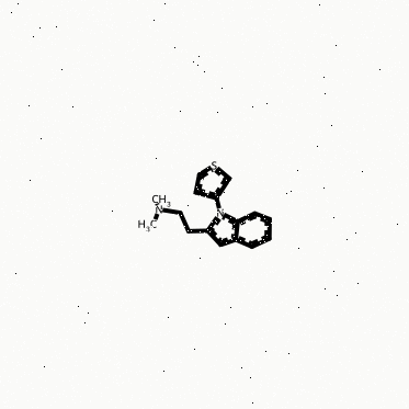 CN(C)CCc1cc2ccccc2n1-c1ccsc1